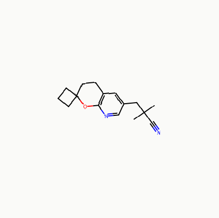 CC(C)(C#N)Cc1cnc2c(c1)CCC1(CCC1)O2